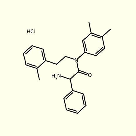 Cc1ccc(N(CCc2ccccc2C)C(=O)C(N)c2ccccc2)cc1C.Cl